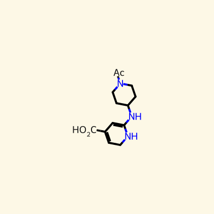 CC(=O)N1CCC(NC2=CC(C(=O)O)=CCN2)CC1